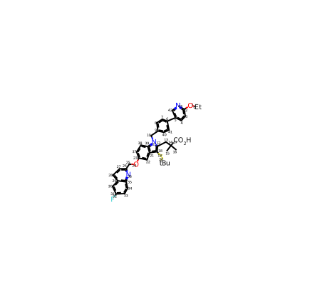 CCOc1ccc(-c2ccc(Cn3c(CC(C)(C)C(=O)O)c(SC(C)(C)C)c4cc(OCc5ccc6cc(F)ccc6n5)ccc43)cc2)cn1